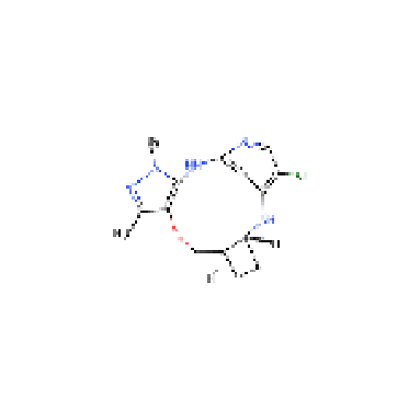 Cc1nn(C(C)C)c2c1OC[C@@H]1CC[C@H]1Nc1cc(ncc1Cl)N2